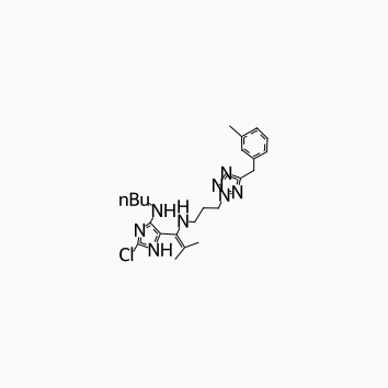 CCCCNc1nc(Cl)[nH]c1C(NCCCn1nnc(Cc2cccc(C)c2)n1)=C(C)C